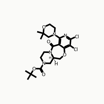 CC(C)(C)OC(=O)N1CCN2C(=O)c3c(N4CCOC(C)(C)C4)nc(Cl)c(Cl)c3OC[C@H]2C1